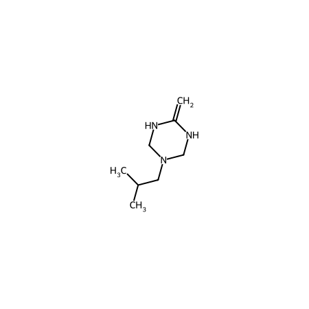 C=C1NCN(CC(C)C)CN1